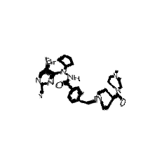 CN1CCN(C(=O)C2CCN(Cc3ccc(C(=O)NN(c4nc(C#N)ncc4Br)C4CCCC4)cc3)CC2)CC1